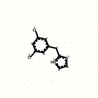 Clc1cc(Cl)cc(Cc2ncc[nH]2)c1